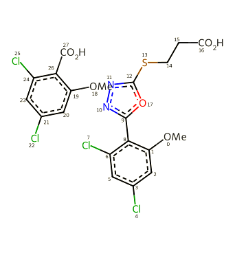 COc1cc(Cl)cc(Cl)c1-c1nnc(SCCC(=O)O)o1.COc1cc(Cl)cc(Cl)c1C(=O)O